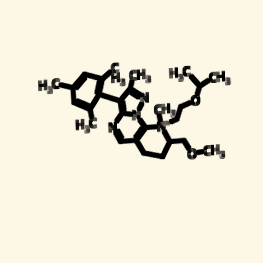 COCC1CCc2cnc3c(-c4c(C)cc(C)cc4C)c(C)nn3c2[N+]1(C)CCOC(C)C